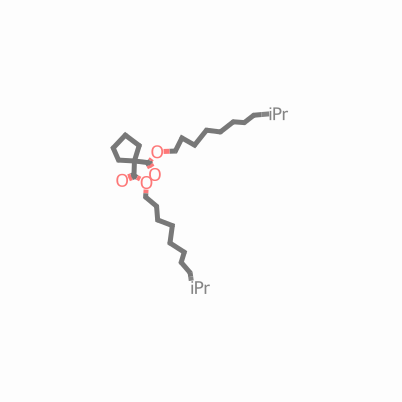 CC(C)CCCCCCCCOC(=O)C1(C(=O)OCCCCCCCCC(C)C)CCCC1